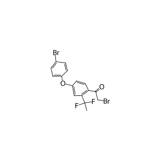 CC(F)(F)c1cc(Oc2ccc(Br)cc2)ccc1C(=O)CBr